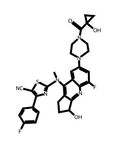 CN(c1nc(-c2ccc(F)cc2)c(C#N)s1)c1c2c(nc3c(F)cc(N4CCN(C(=O)C5(O)CC5)CC4)cc13)C(O)CC2